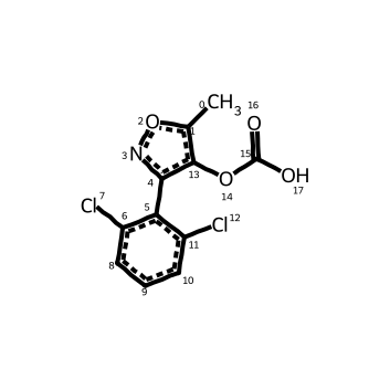 Cc1onc(-c2c(Cl)cccc2Cl)c1OC(=O)O